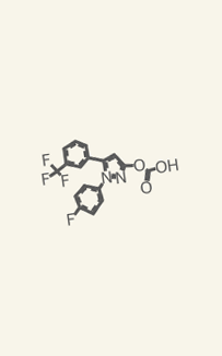 O=C(O)Oc1cc(-c2cccc(C(F)(F)F)c2)n(-c2ccc(F)cc2)n1